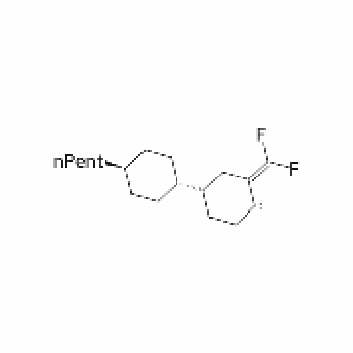 CCCCC[C@H]1CC[C@H](C2CC[C]C(=C(F)F)C2)CC1